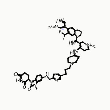 CN/C=C(\C=N)c1cc2c(cc1C(F)F)N(C(=N)C1=C(NC3CCN(CCCc4ccc(CNc5ccc6c(c5)n(C)c(=O)n6C5CCC(=O)NC5=O)nc4)CC3)CCN(C(C)=O)C1)CCC2